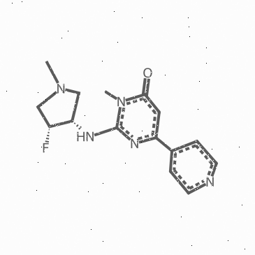 CN1C[C@@H](F)[C@@H](Nc2nc(-c3ccncc3)cc(=O)n2C)C1